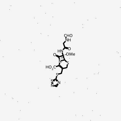 CO[C@@]1(NC(=O)CNC=O)C(=O)N2C(C(=O)O)=C(CSc3ncns3)CSC21